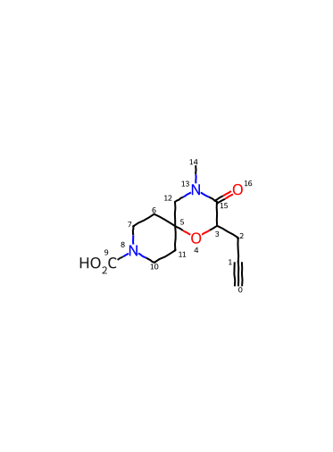 C#CCC1OC2(CCN(C(=O)O)CC2)CN(C)C1=O